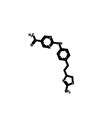 CC(=O)c1cnc(Nc2ccc(CCC3COC(N)=N3)cc2)nc1